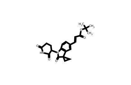 CC(C)(C)OC(=O)/C=C/c1ccc2c(c1)C1(CC1)C(=O)N2C1CCC(=O)NC1=O